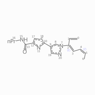 C=C/C(=C\C=C/C)n1cc(-c2nc(C(=O)NCCC)cs2)cn1